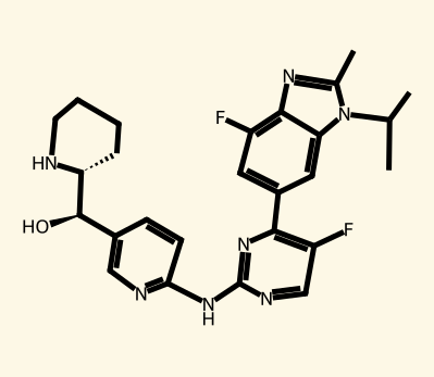 Cc1nc2c(F)cc(-c3nc(Nc4ccc([C@@H](O)[C@H]5CCCCN5)cn4)ncc3F)cc2n1C(C)C